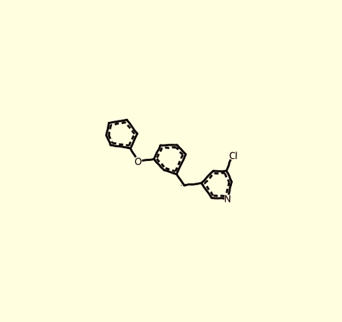 Clc1cncc([CH]c2cccc(Oc3ccccc3)c2)c1